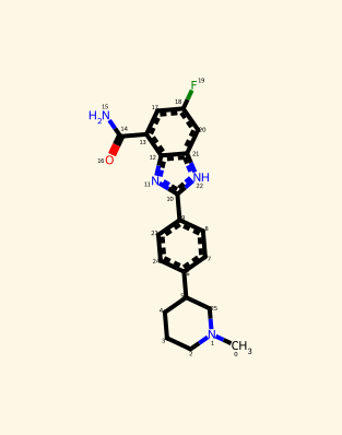 CN1CCCC(c2ccc(-c3nc4c(C(N)=O)cc(F)cc4[nH]3)cc2)C1